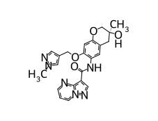 Cn1cc(COc2cc3c(cc2NC(=O)c2cnn4cccnc24)C[C@](C)(O)CO3)cn1